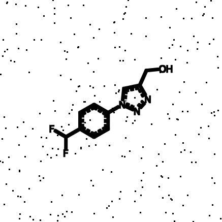 OCc1cn(-c2ccc(C(F)F)cc2)nn1